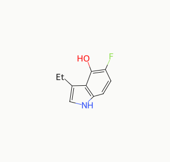 CCc1c[nH]c2ccc(F)c(O)c12